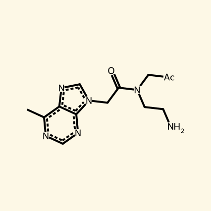 CC(=O)CN(CCN)C(=O)Cn1cnc2c(C)ncnc21